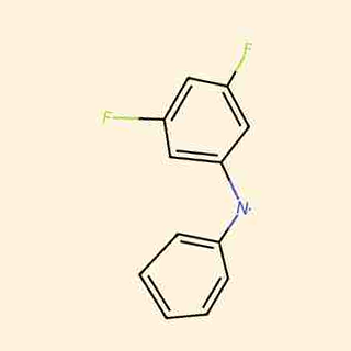 Fc1cc(F)cc([N]c2ccccc2)c1